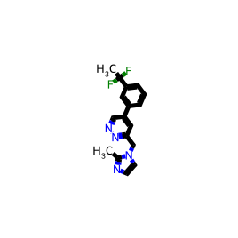 Cc1nccn1Cc1cc(-c2cccc(C(C)(F)F)c2)cnn1